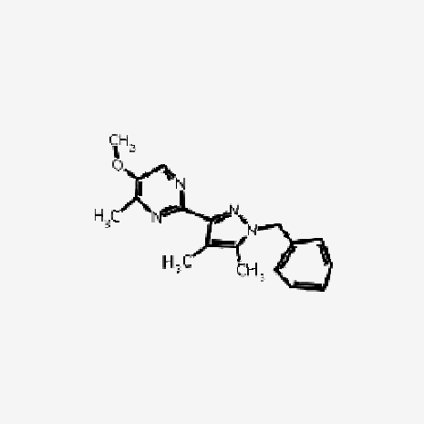 COc1cnc(-c2nn(Cc3ccccc3)c(C)c2C)nc1C